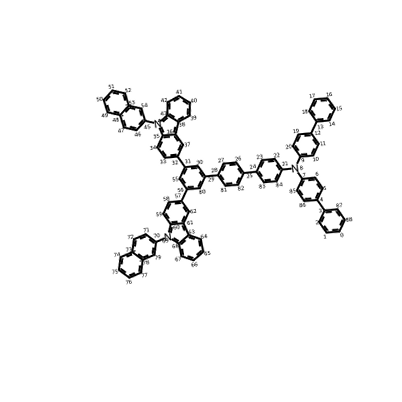 c1ccc(-c2ccc(N(c3ccc(-c4ccccc4)cc3)c3ccc(-c4ccc(-c5cc(-c6ccc7c(c6)c6ccccc6n7-c6ccc7ccccc7c6)cc(-c6ccc7c(c6)c6ccccc6n7-c6ccc7ccccc7c6)c5)cc4)cc3)cc2)cc1